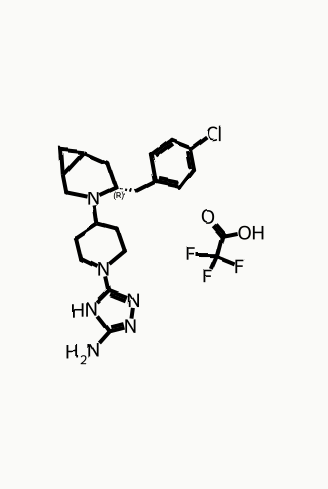 Nc1nnc(N2CCC(N3CC4CC4C[C@@H]3Cc3ccc(Cl)cc3)CC2)[nH]1.O=C(O)C(F)(F)F